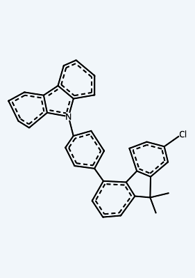 CC1(C)c2cc(Cl)ccc2-c2c(-c3ccc(-n4c5ccccc5c5ccccc54)cc3)cccc21